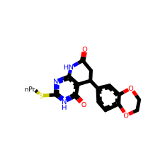 CCCSc1nc2c(c(=O)[nH]1)C(c1ccc3c(c1)OCCO3)CC(=O)N2